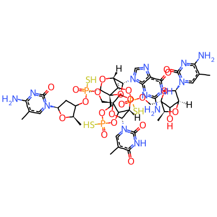 Cc1cn([C@@H]2O[C@@]3(COP(=O)(S)OC4[C@@H]5O[C@@H](C)[C@@]4(COP(=O)(S)OC4[C@@H]6O[C@@H](C)[C@@]4(COP(=O)(S)OC4C[C@H](n7cc(C)c(N)nc7=O)O[C@@H]4C)O[C@H]6n4cc(C)c(=O)[nH]c4=O)O[C@H]5n4cnc5c(=O)[nH]c(N)nc54)C(O)[C@@H]2O[C@H]3C)c(=O)nc1N